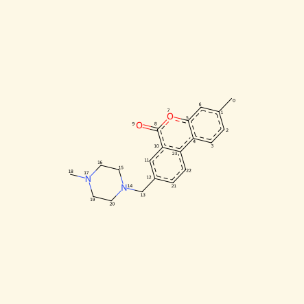 Cc1ccc2c(c1)oc(=O)c1cc(CN3CCN(C)CC3)ccc12